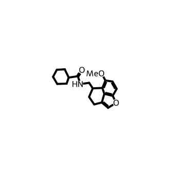 COc1ccc2occ3c2c1C(CNC(=O)C1CCCCC1)CC3